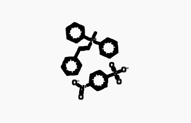 C[P+](C=Cc1ccccc1)(c1ccccc1)c1ccccc1.O=[N+]([O-])c1ccc(S(=O)(=O)[O-])cc1